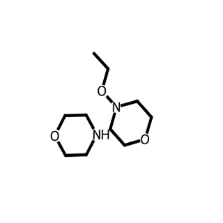 C1COCCN1.CCON1CCOCC1